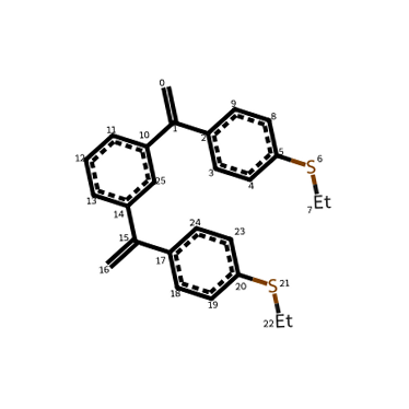 C=C(c1ccc(SCC)cc1)c1cccc(C(=C)c2ccc(SCC)cc2)c1